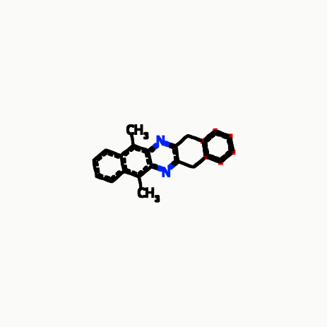 Cc1c2ccccc2c(C)c2nc3c(nc12)C1c2ccccc2C3c2ccccc21